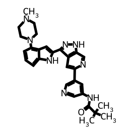 CN1CCN(c2cccc3[nH]c(-c4n[nH]c5cnc(-c6cncc(NC(=O)C(C)(C)C)c6)cc45)cc23)CC1